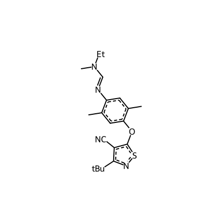 CCN(C)C=Nc1cc(C)c(Oc2snc(C(C)(C)C)c2C#N)cc1C